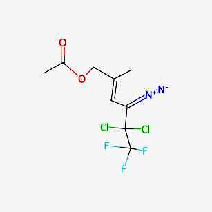 CC(=O)OCC(C)=CC(=[N+]=[N-])C(Cl)(Cl)C(F)(F)F